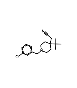 CC(C)(C)C1(CC#N)CCN(Cc2cccc(Cl)c2)CC1